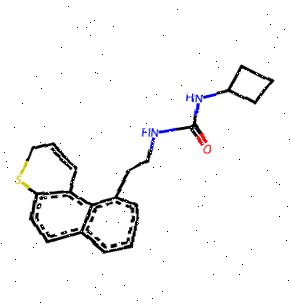 O=C(NCCc1cccc2ccc3c(c12)C=CCS3)NC1CCC1